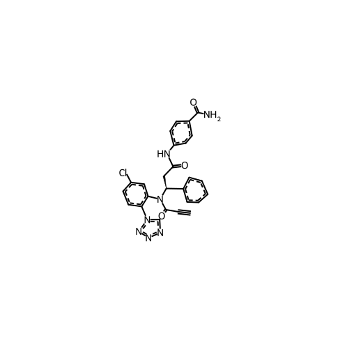 C#CC(=O)N(c1cc(Cl)ccc1-n1cnnn1)[C@@H](CC(=O)Nc1ccc(C(N)=O)cc1)c1ccccc1